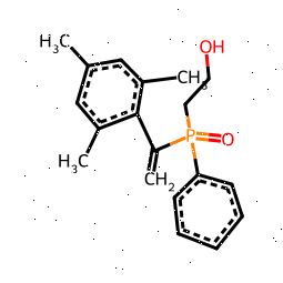 C=C(c1c(C)cc(C)cc1C)P(=O)(CCO)c1ccccc1